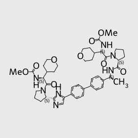 COC(=O)N[C@H](C(=O)N1CCC[C@H]1C(=O)N[C@@H](C)c1ccc(-c2ccc(-c3cnc([C@@H]4CCCN4C(=O)[C@@H](NC(=O)OC)C4CCOCC4)[nH]3)cc2)cc1)C1CCOCC1